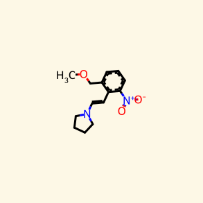 COCc1cccc([N+](=O)[O-])c1/C=C/N1CCCC1